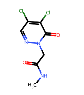 CNC(=O)Cn1ncc(Cl)c(Cl)c1=O